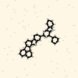 c1ccc(-c2nc(-c3ccc4c(c3)oc3c5c(ccc34)-c3cccc4cccc-5c34)nc3c2sc2ccccc23)cc1